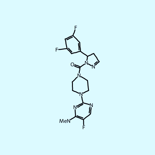 CNc1nc(N2CCN(C(=O)N3N=CCC3c3cc(F)cc(F)c3)CC2)ncc1F